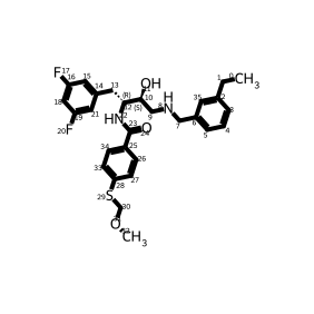 CCc1cccc(CNC[C@H](O)[C@@H](Cc2cc(F)cc(F)c2)NC(=O)c2ccc(SCOC)cc2)c1